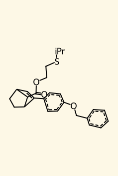 CC(C)SCCOC(=O)C1C2C=C(c3ccc(OCc4ccccc4)cc3)C1CC2